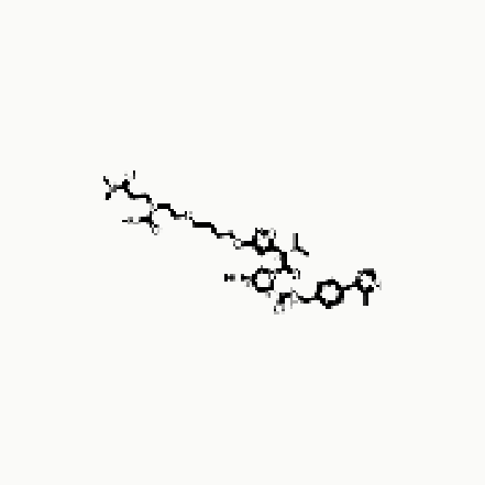 Cc1ncsc1-c1ccc(CNC(=O)[C@@H]2C[C@@H](O)CN2C(=O)[C@H](c2cc(OCCCCOCCN(CCC(=O)N(C)C)C(=O)O)no2)C(C)C)cc1